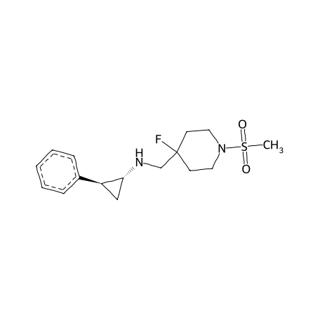 CS(=O)(=O)N1CCC(F)(CN[C@@H]2C[C@H]2c2ccccc2)CC1